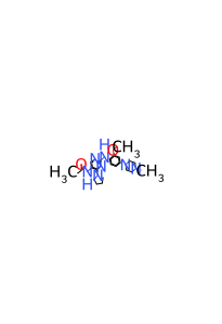 CCC(=O)Nc1cnc(Nc2ccc(N3CCN(C)CC3)cc2OC)nc1N1CCCC1